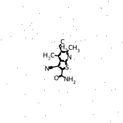 CCc1c(C)nc2sc(C(N)=O)c(C#N)c2c1C